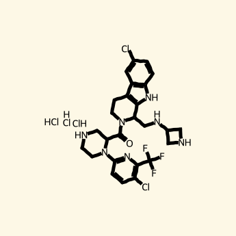 Cl.Cl.Cl.O=C(C1CNCCN1c1ccc(Cl)c(C(F)(F)F)n1)N1CCc2c([nH]c3ccc(Cl)cc23)C1CNC1CNC1